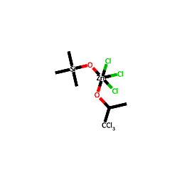 CC([O][Zn]([Cl])([Cl])([Cl])[O][Si](C)(C)C)C(Cl)(Cl)Cl